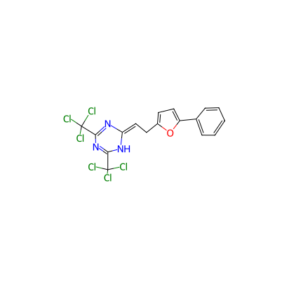 ClC(Cl)(Cl)C1=NC(=CCc2ccc(-c3ccccc3)o2)NC(C(Cl)(Cl)Cl)=N1